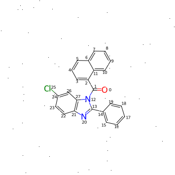 O=C(c1cccc2ccccc12)n1c(-c2ccccc2)nc2ccc(Cl)cc21